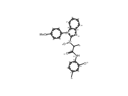 COc1ccc(-n2c([S+]([O-])C(C)C(=O)Nc3ccc(C)cc3Cl)nc3ccccc32)cc1